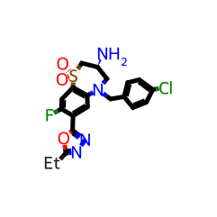 CCc1nnc(-c2cc3c(cc2F)S(=O)(=O)C[C@H](N)CN3Cc2ccc(Cl)cc2)o1